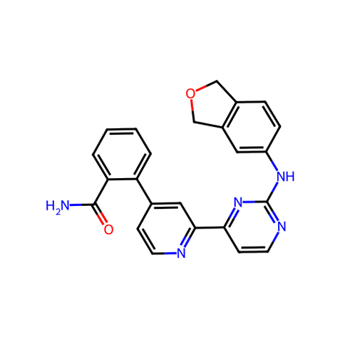 NC(=O)c1ccccc1-c1ccnc(-c2ccnc(Nc3ccc4c(c3)COC4)n2)c1